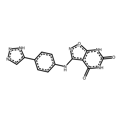 O=c1[nH]c(=O)c2c(Nc3ccc(-c4cnn[nH]4)cc3)noc2[nH]1